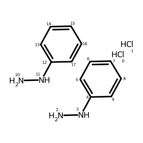 Cl.Cl.NNc1ccccc1.NNc1ccccc1